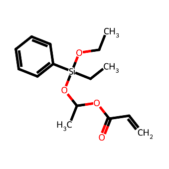 C=CC(=O)OC(C)O[Si](CC)(OCC)c1ccccc1